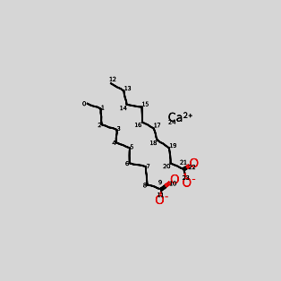 CCCCCCCCCC(=O)[O-].CCCCCCCCCC(=O)[O-].[Ca+2]